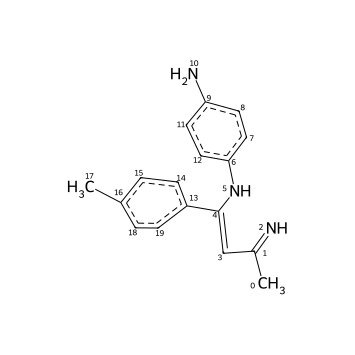 CC(=N)/C=C(\Nc1ccc(N)cc1)c1ccc(C)cc1